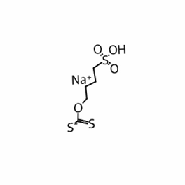 O=S(=O)(O)CCCCOC(=S)[S-].[Na+]